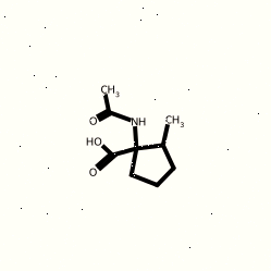 CC(=O)NC1(C(=O)O)CCCC1C